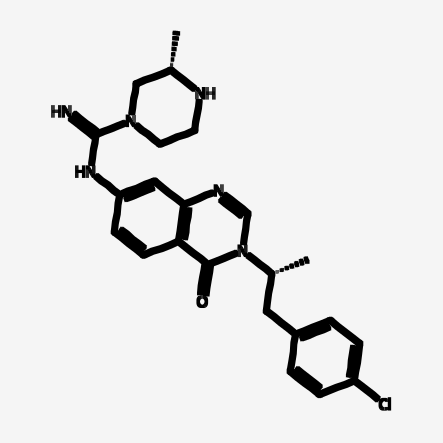 C[C@H](Cc1ccc(Cl)cc1)n1cnc2cc(NC(=N)N3CCN[C@@H](C)C3)ccc2c1=O